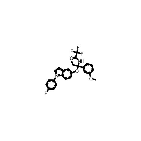 CCC(NC(=O)C(F)(F)F)(Oc1ccc2c(ccn2-c2ccc(F)cc2)c1)c1cccc(OC)c1